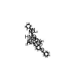 Cc1nn(-c2ccccc2)nc1C(=O)NC(CC(C)C)C(=O)NC(Cc1ccc(OCc2ccccc2)cc1)C(=O)OC(C)(C)C